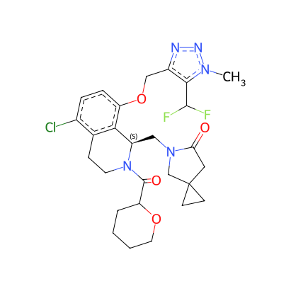 Cn1nnc(COc2ccc(Cl)c3c2[C@@H](CN2CC4(CC4)CC2=O)N(C(=O)C2CCCCO2)CC3)c1C(F)F